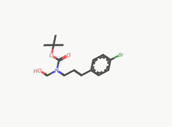 CC(C)(C)OC(=O)N(CO)CCCc1ccc(Br)cc1